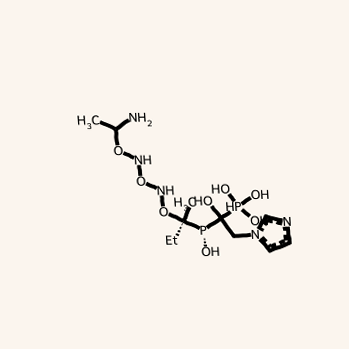 CC[C@@](C)(ONONOC(C)N)[P@@](O)C(O)(Cn1ccnc1)[PH](O)(O)O